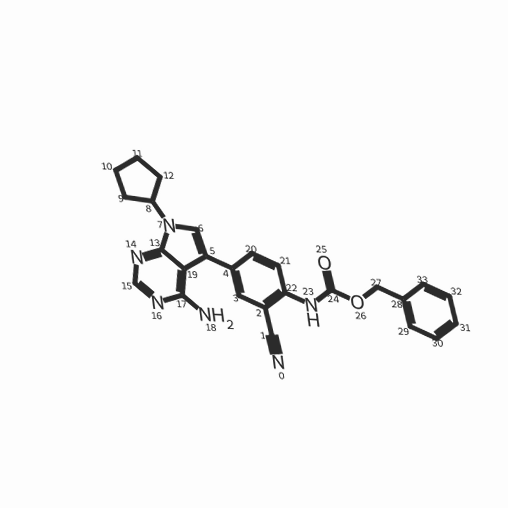 N#Cc1cc(-c2cn(C3CCCC3)c3ncnc(N)c23)ccc1NC(=O)OCc1ccccc1